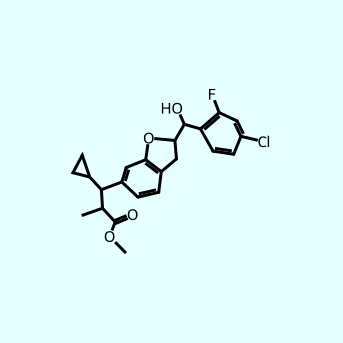 COC(=O)C(C)C(c1ccc2c(c1)OC(C(O)c1ccc(Cl)cc1F)C2)C1CC1